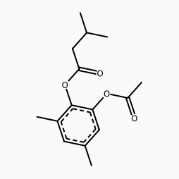 CC(=O)Oc1cc(C)cc(C)c1OC(=O)CC(C)C